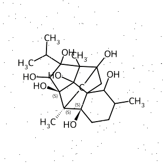 CC1CC[C@@]2(O)C3(CC4(O)C[C@]2(C)[C@]2(O)C(O)C(O)(C(C)C)C4(C)C32O)C1O